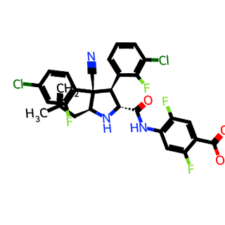 C=C(C)C[C@@H]1N[C@@H](C(=O)Nc2cc(F)c(C(=O)O)cc2F)[C@H](c2cccc(Cl)c2F)[C@@]1(C#N)c1ccc(Cl)cc1F